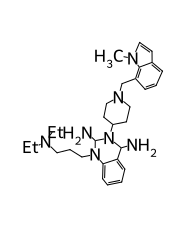 CCN(CC)CCCN1c2ccccc2C(N)N(C2CCN(Cc3cccc4ccn(C)c34)CC2)C1N